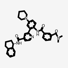 CN(C)C(=O)c1cccc(C(=O)Nc2ccc(N3CCCCC3)cc2-c2cc(C(=O)N[C@H]3CCCc4ccccc43)ccn2)c1